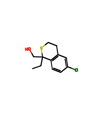 CCC1(CO)SCCc2cc(Cl)ccc21